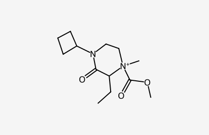 CCC1C(=O)N(C2CCC2)CC[N+]1(C)C(=O)OC